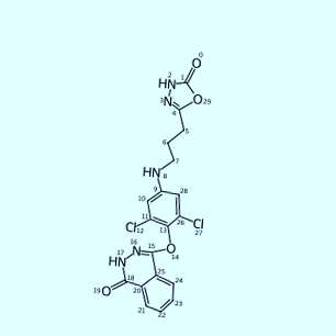 O=c1[nH]nc(CCCNc2cc(Cl)c(Oc3n[nH]c(=O)c4ccccc34)c(Cl)c2)o1